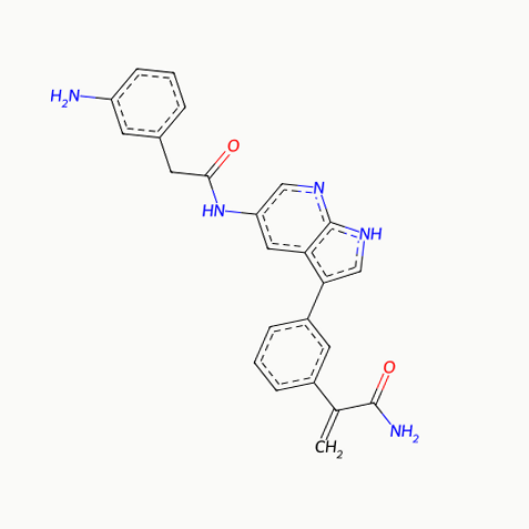 C=C(C(N)=O)c1cccc(-c2c[nH]c3ncc(NC(=O)Cc4cccc(N)c4)cc23)c1